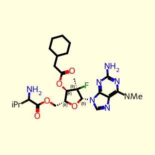 CNc1nc(N)nc2c1ncn2[C@@H]1O[C@H](COC(=O)C(N)C(C)C)[C@@H](OC(=O)CC2CCCCC2)[C@@]1(C)F